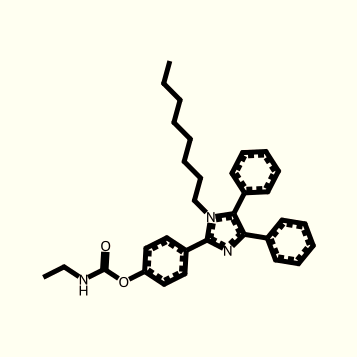 CCCCCCCCn1c(-c2ccc(OC(=O)NCC)cc2)nc(-c2ccccc2)c1-c1ccccc1